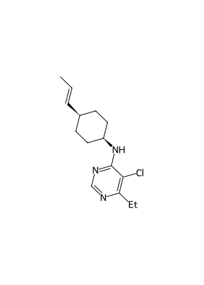 CC=C[C@H]1CC[C@@H](Nc2ncnc(CC)c2Cl)CC1